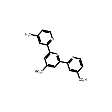 Cc1ccnc(-c2cc(C(=O)O)cc(-c3cc(C(=O)O)ccn3)n2)c1